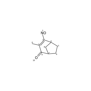 CC1=C(N=O)C2CCC(C2)C1=O